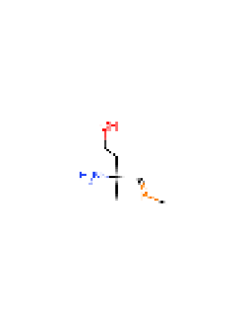 C/P=C/C(C)(N)CCO